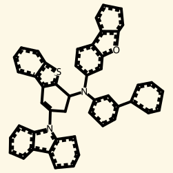 C1=C(n2c3ccccc3c3ccccc32)CC(N(c2cccc(-c3ccccc3)c2)c2ccc3c(c2)oc2ccccc23)c2sc3ccccc3c21